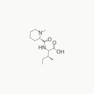 CC[C@H](C)C(NC(=O)[C@H]1CCCCN1C)C(=O)O